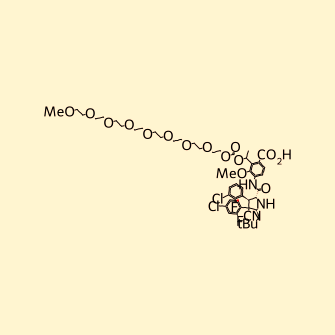 COCCOCCOCCOCCOCCOCCOCCOCCOC(=O)OC(C)c1c(C(=O)O)ccc(NC(=O)[C@@H]2N[C@@H](CC(C)(C)C)[C@](C#N)(c3ccc(Cl)cc3F)[C@H]2c2cccc(Cl)c2F)c1OC